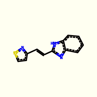 C(=Cc1nc2ccccc2[nH]1)c1ccsn1